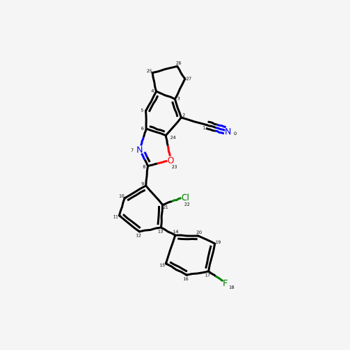 N#Cc1c2c(cc3nc(-c4cccc(-c5ccc(F)cc5)c4Cl)oc13)CCC2